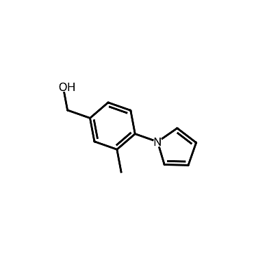 Cc1cc(CO)ccc1-n1cccc1